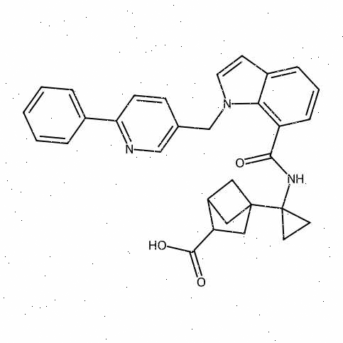 O=C(NC1(C23CC(C2)C(C(=O)O)C3)CC1)c1cccc2ccn(Cc3ccc(-c4ccccc4)nc3)c12